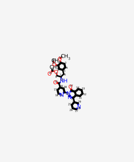 COc1ccc(CC(COC(C)=O)NC(=O)c2ccnc(-n3nc(-c4cccnc4)c4ccccc4c3=O)c2)cc1OC